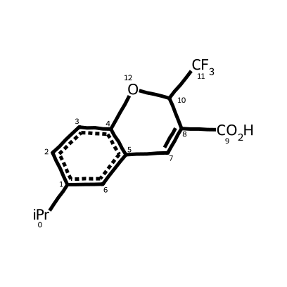 CC(C)c1ccc2c(c1)C=C(C(=O)O)C(C(F)(F)F)O2